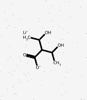 CC(O)C(C(=O)[O-])C(C)O.[Li+]